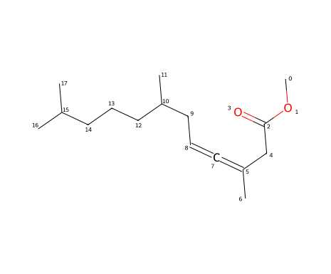 COC(=O)CC(C)=C=CCC(C)CCCC(C)C